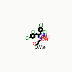 COC(=O)CCCN1C=C(Cc2ccc(Cl)cc2Cl)C(c2ccc(Cl)cc2Cl)NS1(O)O